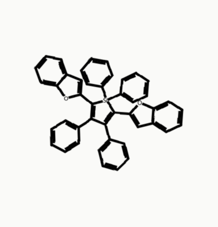 c1ccc(C2=C(c3cc4ccccc4o3)[Si](c3ccccc3)(c3ccccc3)C(c3cc4ccccc4o3)=C2c2ccccc2)cc1